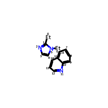 CCc1nccn1CC.c1ccc2ncccc2c1